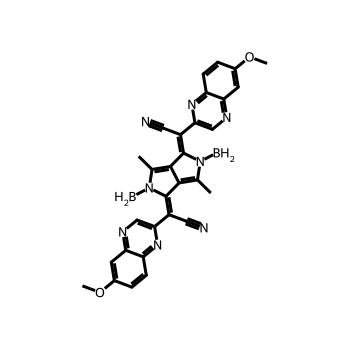 Bn1c(C)c2/c(=C(\C#N)c3cnc4cc(OC)ccc4n3)n(B)c(C)c2/c1=C(\C#N)c1cnc2cc(OC)ccc2n1